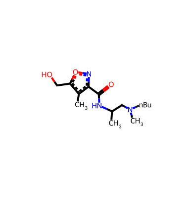 CCCCN(C)CC(C)NC(=O)c1noc(CO)c1C